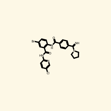 N=C(c1ccc(C(=O)Nc2ccc(Br)cc2C(=O)Nc2ccc(Cl)cn2)cc1)N1CCCC1